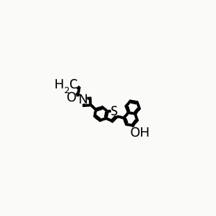 C=CC(=O)N1CC(c2ccc3cc(-c4cc(O)cc5ccccc45)sc3c2)C1